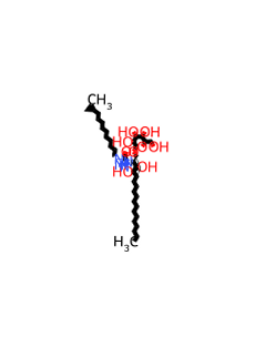 CCCCCCCCCCCCCC[C@@H](O)[C@@H](O)[C@H](COC1OC(CO)C(O)C(O)C1O)n1nnn(CCCCCCCCCCC2CC2C)c1=O